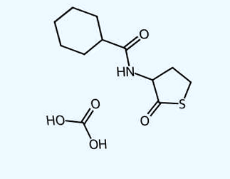 O=C(NC1CCSC1=O)C1CCCCC1.O=C(O)O